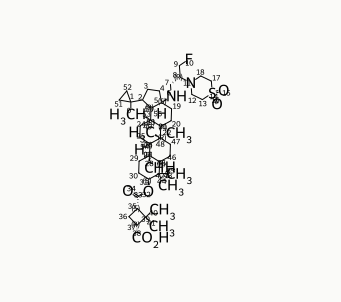 CC1(C2CC[C@]3(NC[C@H](CF)N4CCS(=O)(=O)CC4)CC[C@]4(C)[C@H](CC[C@@H]5[C@@]6(C)CC[C@H](OC(=O)[C@H]7C[C@@H](C(=O)O)C7(C)C)C(C)(C)[C@@H]6CC[C@]54C)[C@@H]23)CC1